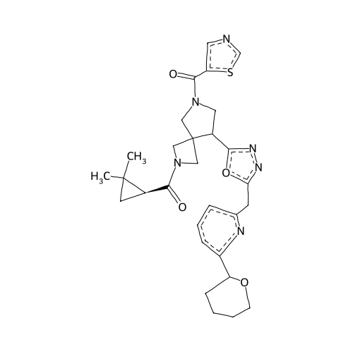 CC1(C)C[C@@H]1C(=O)N1CC2(CN(C(=O)c3cncs3)CC2c2nnc(Cc3cccc(C4CCCCO4)n3)o2)C1